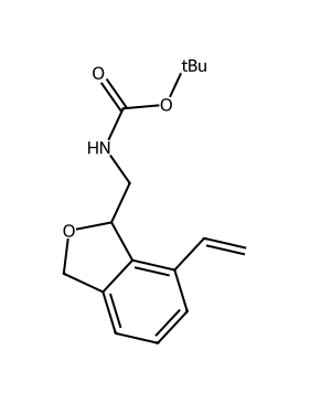 C=Cc1cccc2c1C(CNC(=O)OC(C)(C)C)OC2